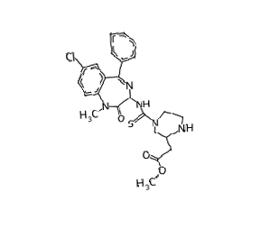 COC(=O)CC1CN(C(=S)NC2N=C(c3ccccc3)c3cc(Cl)ccc3N(C)C2=O)CCN1